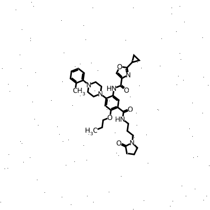 CCCOc1cc(N2CCN(c3ccccc3C)CC2)c(NC(=O)c2coc(C3CC3)n2)cc1C(=O)NCCCN1CCCC1=O